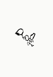 O=C(NC1(c2ccccc2)CCN(Cc2ccccc2)CC1)C1CC1